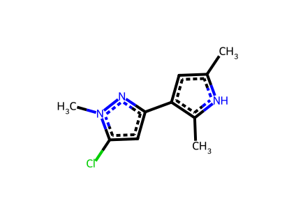 Cc1cc(-c2cc(Cl)n(C)n2)c(C)[nH]1